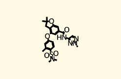 Cc1cc(Oc2cc(C(=O)Nc3cnn(C)n3)cc3c2CC(C)(C)O3)ccc1S(=O)(=O)N(C)C